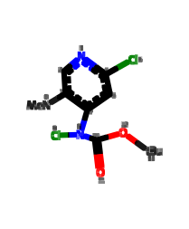 CNc1cnc(Cl)cc1N(Cl)C(=O)OC(C)(C)C